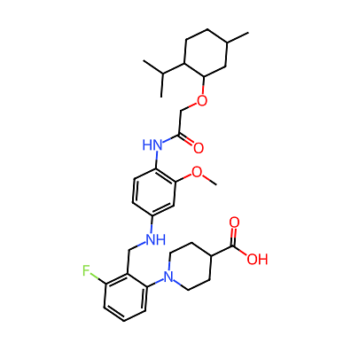 COc1cc(NCc2c(F)cccc2N2CCC(C(=O)O)CC2)ccc1NC(=O)COC1CC(C)CCC1C(C)C